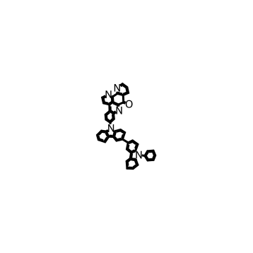 O=C1c2cccnc2-c2nccc3c2c1nc1cc(-n2c4ccccc4c4cc(-c5ccc6c(c5)c5ccccc5n6-c5ccccc5)ccc42)ccc13